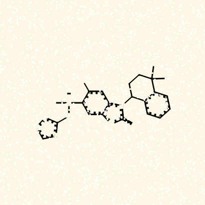 CC1(C)CCC(n2c(=O)oc3cc([SH](C)(=O)Nc4ncns4)c(F)cc32)c2ccccc21